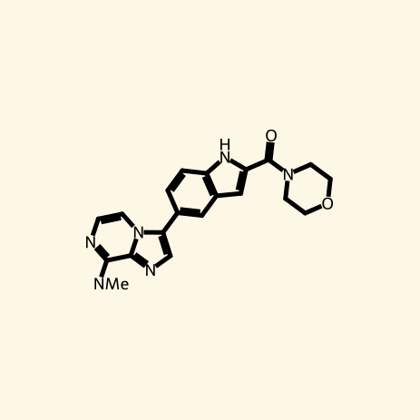 CNc1nccn2c(-c3ccc4[nH]c(C(=O)N5CCOCC5)cc4c3)cnc12